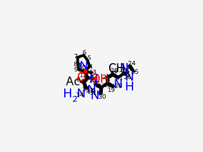 CC(=O)c1c(C2CC3CCC(C2)N3C(=O)CO)nc2c(-c3cnc(-c4ncc[nH]4)c(C)c3)cnn2c1N